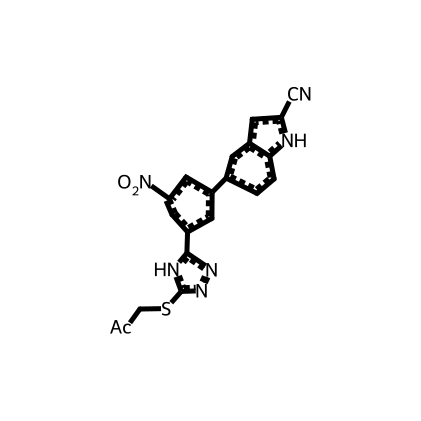 CC(=O)CSc1nnc(-c2cc(-c3ccc4[nH]c(C#N)cc4c3)cc([N+](=O)[O-])c2)[nH]1